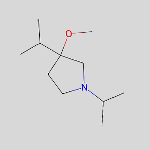 COC1(C(C)C)CCN(C(C)C)C1